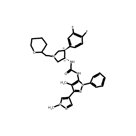 Cc1c(-c2cnn(C)c2)nn(-c2ccccc2)c1NC(=O)N[C@@H]1CN(CC2CCCCO2)C[C@H]1c1ccc(F)c(F)c1